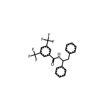 O=C(NC(Cc1ccccc1)c1ccccc1)c1cc(C(F)(F)F)cc(C(F)(F)F)c1